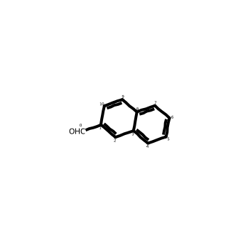 O=Cc1[c]c2ccccc2cc1